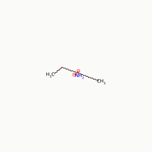 CCCCCCCC/C=C\CCCCCCCCCCC(C(N)=O)C(=O)CCCCCCCCCCCCCCCCC